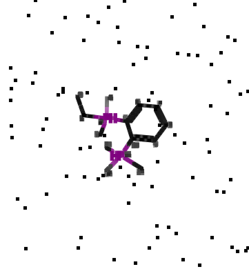 CC[PH](C)(C)c1ccccc1[PH](C)(C)C